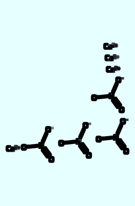 O=[Si]([O-])[O-].O=[Si]([O-])[O-].O=[Si]([O-])[O-].O=[Si]([O-])[O-].[Ca+2].[Ca+2].[Ca+2].[Ca+2]